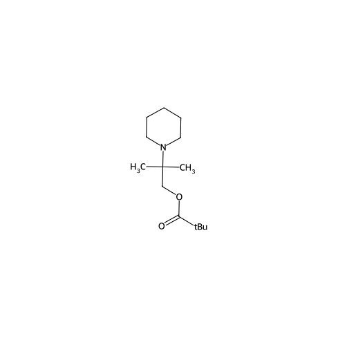 CC(C)(C)C(=O)OCC(C)(C)N1CCCCC1